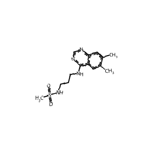 Cc1cc2ncnc(NCCCNS(C)(=O)=O)c2cc1C